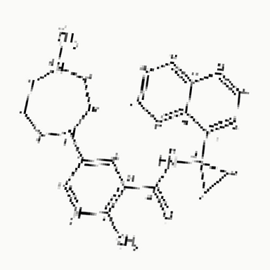 Cc1ncc(N2CCCN(C)CC2)cc1C(=O)NC1(c2cccc3ccccc23)CC1